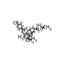 CN1CCN(c2ccc(C3CN(c4ccc(Cl)cc4)CCN3C(=O)C(C)(C)C)cc2)CC1